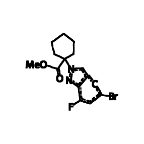 COC(=O)C1(n2cc3cc(Br)cc(F)c3n2)CCCCC1